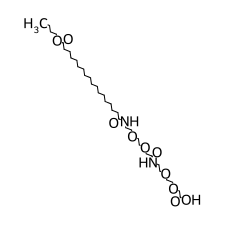 CCCCOC(=O)CCCCCCCCCCCCCCCCC(=O)NCCOCCOCC(=O)NCCOCCOCC(=O)O